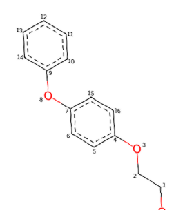 [O]CCOc1ccc(Oc2ccccc2)cc1